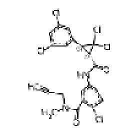 C#CCN(C)C(=O)c1cc(NC(=O)[C@@H]2[C@@H](c3cc(Cl)cc(Cl)c3)C2(Cl)Cl)ccc1Cl